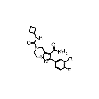 NC(=O)c1c(-c2ccc(F)c(Cl)c2)nn2c1CN(C(=O)NC1CCC1)CC2